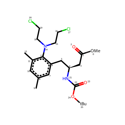 COC(=O)C[C@H](Cc1cc(C)cc(C)c1N(CCCl)CCCl)NC(=O)OC(C)(C)C